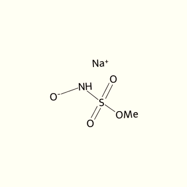 COS(=O)(=O)N[O-].[Na+]